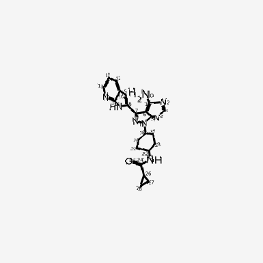 Nc1ncnc2c1c(-c1cc3cccnc3[nH]1)nn2C1CCC(NC(=O)C2CC2)CC1